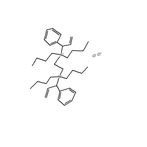 C=CC(c1ccccc1)[N+](CCCC)(CCCC)CC[N+](CCCC)(CCCC)C(C=C)c1ccccc1.[Cl-].[Cl-]